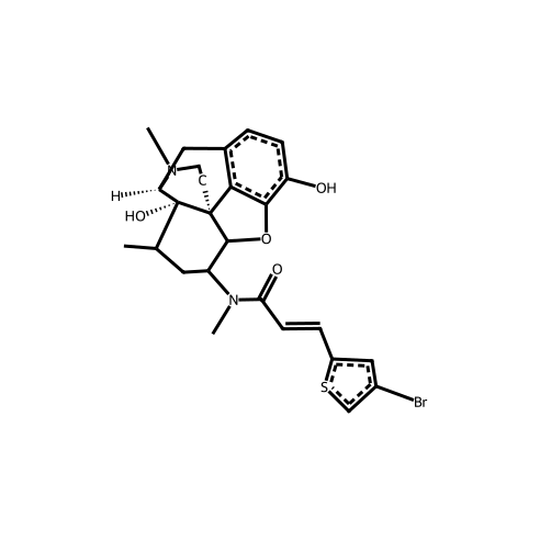 CC1CC(N(C)C(=O)/C=C/c2cc(Br)cs2)C2Oc3c(O)ccc4c3[C@@]23CCN(C)[C@H](C4)[C@]13O